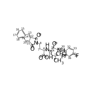 CC(C)C[C@@H](NC(CCN1C(=O)c2cc3ccccc3cc2C1=O)C(=O)O)C(=O)NCc1ccc(F)cc1F